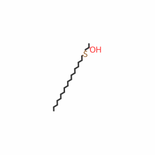 CCCCCCCCCCCCCCCCCCSCC(C)O